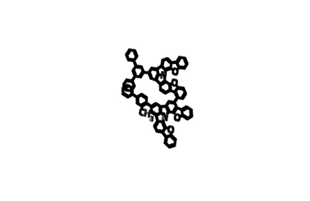 Cc1cc(-c2ccccc2)ccc1-c1cc2c3ccc4c5ccccc5oc4c3n3c2c(c1)c1cc(-c2cccc4oc5c(ccc6c7cc(-c8cc(-c9ccccc9)cc(-c9ccccc9)c8)cc8c9ccc%10c%11ccccc%11oc%10c9n(c87)c65)c24)c2c4ccccc4oc2c13